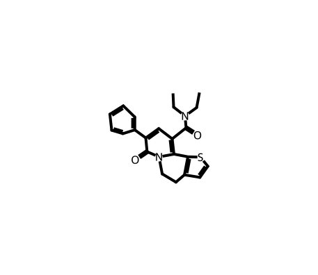 CCN(CC)C(=O)c1cc(-c2ccccc2)c(=O)n2c1-c1sccc1CC2